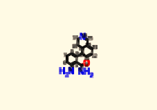 NC(=O)c1c(N)cccc1-c1cccc2cnccc12